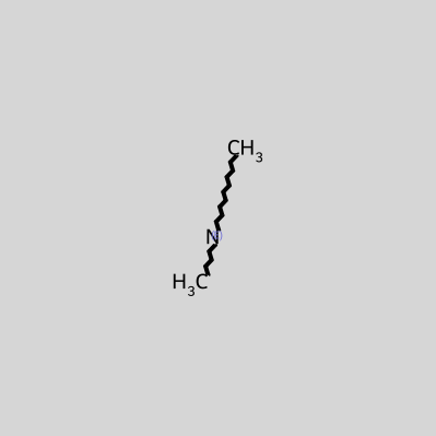 CCCCCCCCCCC/C=N/CCCCCC